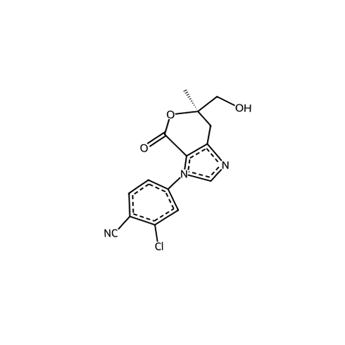 C[C@]1(CO)Cc2ncn(-c3ccc(C#N)c(Cl)c3)c2C(=O)O1